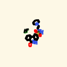 O=c1[nH]c2ccc(S(=O)(=O)NCCN3CCCCC3)cc2c2ccccc12.[Cl-].[H+]